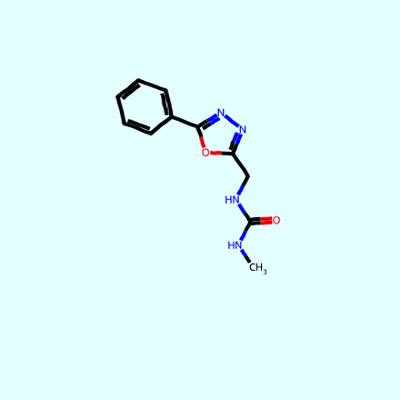 CNC(=O)NCc1nnc(-c2ccccc2)o1